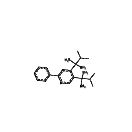 BC(B)(c1cnc(-c2ccccc2)cc1C(B)(B)C(C)C)C(C)C